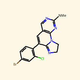 CNc1ncc2c(n1)N1CCN=C1C(c1ccc(Br)cc1Cl)=C2